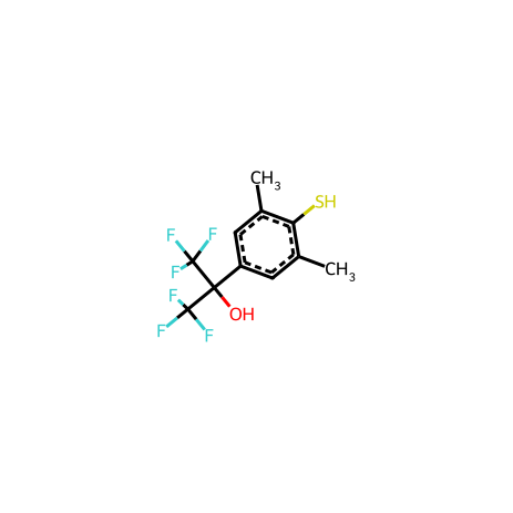 Cc1cc(C(O)(C(F)(F)F)C(F)(F)F)cc(C)c1S